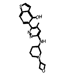 Cc1cc(NC2CCCN(C3COC3)C2)nnc1-c1ccc2sccc2c1O